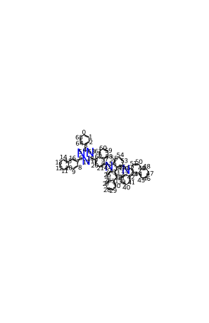 c1ccc(-c2nc(-c3ccc4ccccc4c3)nc(-c3ccc(-n4c5cc6ccccc6cc5c5c(-n6c7ccccc7c7c8ccccc8ccc76)cccc54)c4ccccc34)n2)cc1